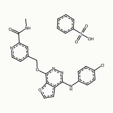 CNC(=O)c1cc(COc2nnc(Nc3ccc(Cl)cc3)c3ccoc23)ccn1.O=S(=O)(O)c1ccccc1